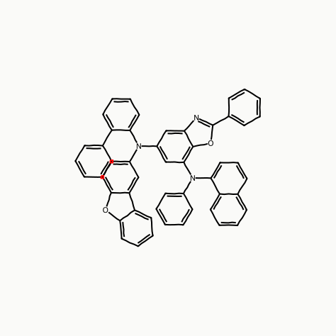 c1ccc(-c2nc3cc(N(c4ccc5oc6ccccc6c5c4)c4ccccc4-c4ccccc4)cc(N(c4ccccc4)c4cccc5ccccc45)c3o2)cc1